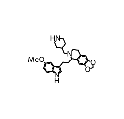 COc1ccc2[nH]cc(CCC3c4cc5c(cc4CCN3CC3CCNCC3)OCO5)c2c1